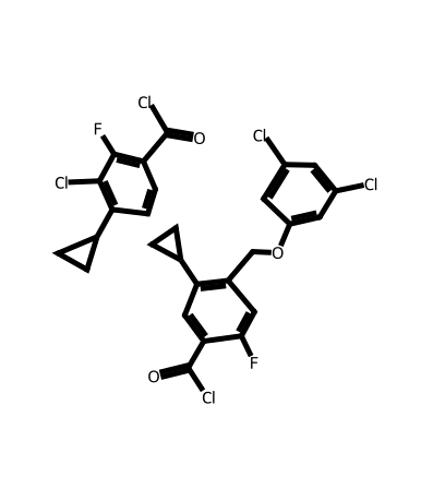 O=C(Cl)c1cc(C2CC2)c(COc2cc(Cl)cc(Cl)c2)cc1F.O=C(Cl)c1ccc(C2CC2)c(Cl)c1F